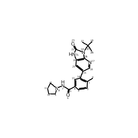 Cc1ccc(C(=O)NN2CCCC2)cc1-c1cnc2c(c1)[nH]c(=O)n2C(C)(C)C